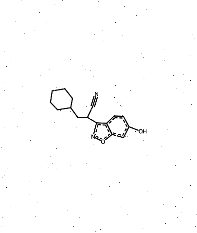 N#CC(CC1CCCCC1)c1noc2cc(O)ccc12